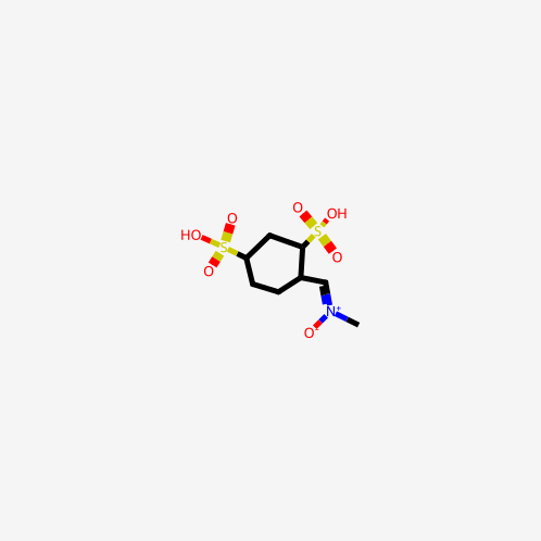 C[N+]([O-])=CC1CCC(S(=O)(=O)O)CC1S(=O)(=O)O